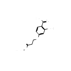 COC(=O)CCOc1ccc(/C(C)=N\O)c(O)c1